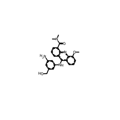 COc1cccc2c(Nc3cc(N)cc(CO)c3)c3cccc(C(=O)N(C)C)c3nc12